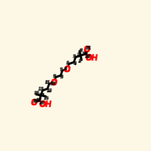 CC(C)(CCCOCCCOCCCC(C)(C)C(=O)O)C(=O)O